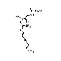 C/C=C/C#C/C=C/N=C(\N)CN(CCC)C(=O)CNC(=O)OC